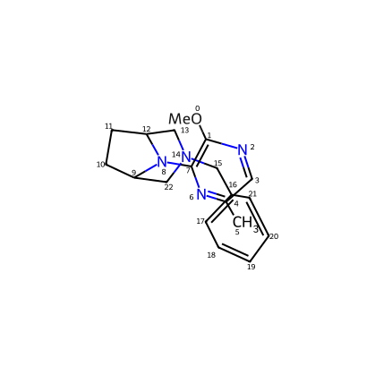 COc1ncc(C)nc1N1C2CCC1CN(Cc1ccccc1)C2